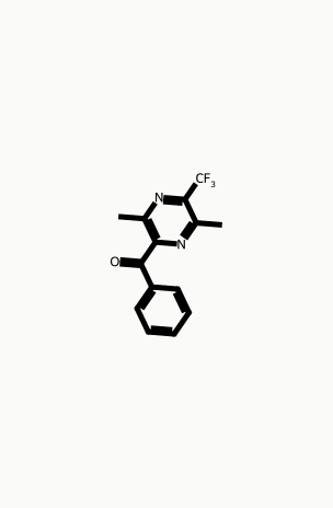 Cc1nc(C(F)(F)F)c(C)nc1C(=O)c1ccccc1